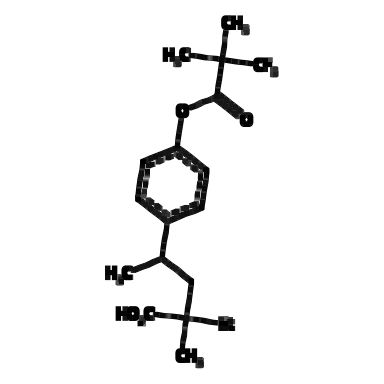 CCC(C)(CC(C)c1ccc(OC(=O)C(C)(C)C(F)(F)F)cc1)C(=O)O